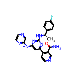 C[C@H](Nc1nc(Nc2cnccn2)cc(-c2ccncc2C(N)=O)n1)c1ccc(F)cc1